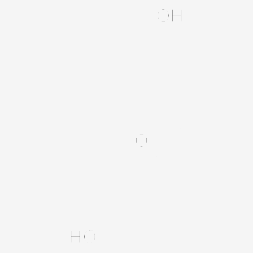 OCCCCc1ccc(CCCCO)o1